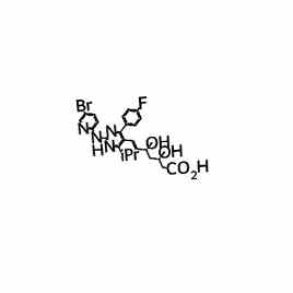 CC(C)c1nc(Nc2ccc(Br)cn2)nc(-c2ccc(F)cc2)c1/C=C/[C@@H](O)C[C@@H](O)CC(=O)O